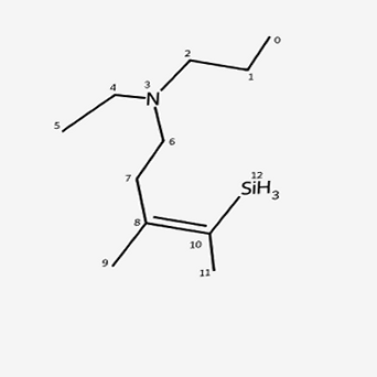 CCCN(CC)CCC(C)=C(C)[SiH3]